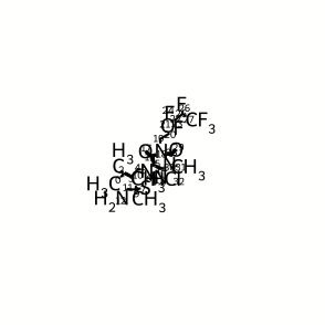 CC(C)=CCn1c(SC(C)(C)CN)nc2c1c(=O)n(CCOC(F)(F)C(F)C(F)(F)F)c(=O)n2C.Cl